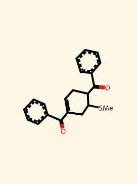 CSC1CC(C(=O)c2ccccc2)=CCC1C(=O)c1ccccc1